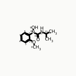 COc1ccccc1N(O)C(=O)NC(C)C